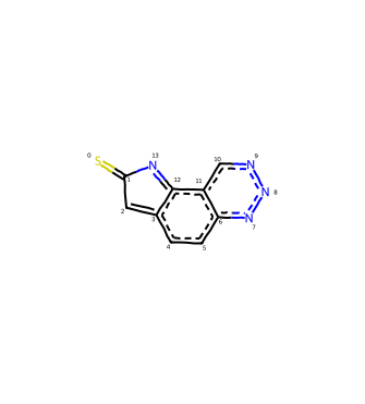 S=C1C=c2ccc3nnncc3c2=N1